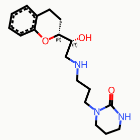 O=C1NCCCN1CCCNC[C@@H](O)[C@H]1CCc2ccccc2O1